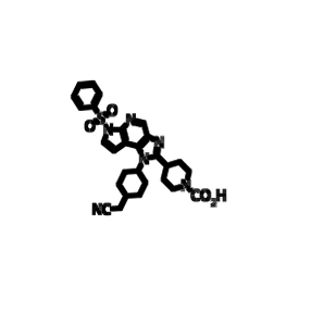 N#CCC1CCC(n2c(C3CCN(C(=O)O)CC3)nc3cnc4c(ccn4S(=O)(=O)c4ccccc4)c32)CC1